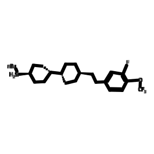 CCCC[SiH2][C@H]1CC[C@H]([C@H]2CC[C@H](CCc3ccc(OC(F)(F)F)c(F)c3)CC2)CC1